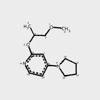 COCC(C)Oc1cc(N2CCCC2)ccn1